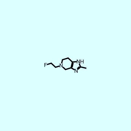 Cc1nc2c([nH]1)CCN(CCF)C2